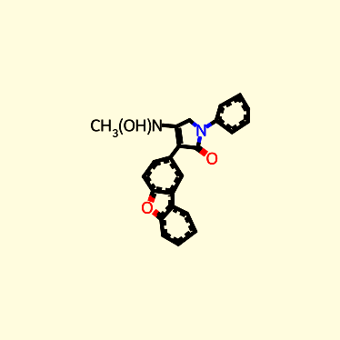 CN(O)C1=C(c2ccc3oc4ccccc4c3c2)C(=O)N(c2ccccc2)C1